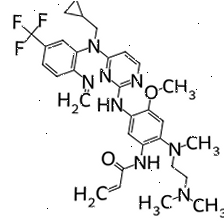 C=CC(=O)Nc1cc(Nc2nccc(N(CC3CC3)c3cc(C(F)(F)F)ccc3N=C)n2)c(OC)cc1N(C)CCN(C)C